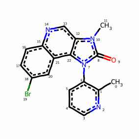 Cc1ncccc1-n1c(=O)n(C)c2cnc3ccc(Br)cc3c21